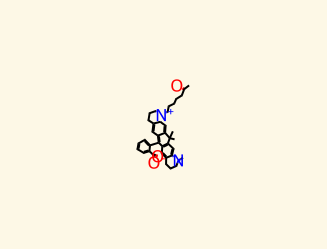 CC(=O)CCCCC[N+]1=c2cc3c(cc2CCC1)=C(c1ccccc1C(=O)[O-])c1cc2c(cc1C3(C)C)N(C)CCC2